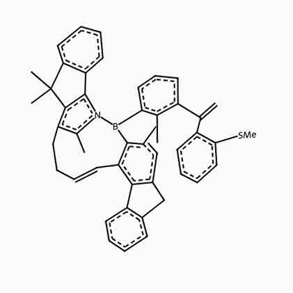 C=C(c1ccccc1SC)c1cccc(B2c3c(C)cc4c(c3/C=C/CCc3c5c(n2c3C)-c2ccccc2C5(C)C)-c2ccccc2C4)c1C